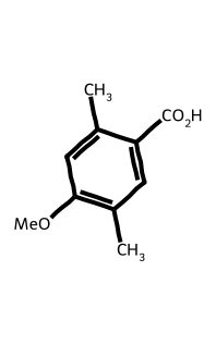 COc1cc(C)c(C(=O)O)cc1C